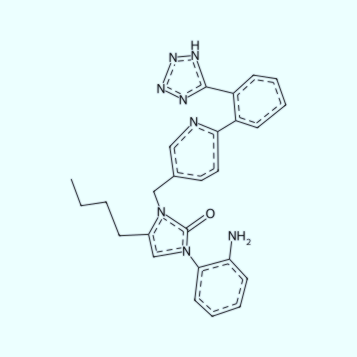 CCCCc1cn(-c2ccccc2N)c(=O)n1Cc1ccc(-c2ccccc2-c2nnn[nH]2)nc1